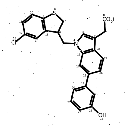 O=C(O)Cc1cn(CC2CSc3ccc(Cl)cc32)c2cc(-c3cccc(O)c3)ccc12